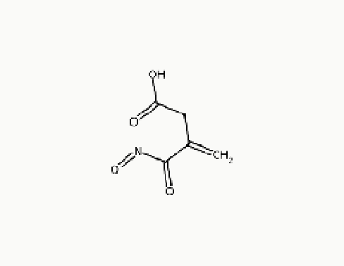 C=C(CC(=O)O)C(=O)N=O